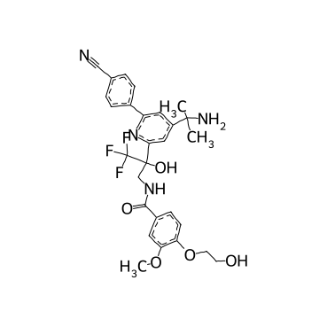 COc1cc(C(=O)NCC(O)(c2cc(C(C)(C)N)cc(-c3ccc(C#N)cc3)n2)C(F)(F)F)ccc1OCCO